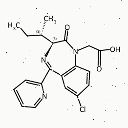 CC[C@H](C)[C@@H]1N=C(c2ccccn2)c2cc(Cl)ccc2N(CC(=O)O)C1=O